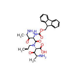 C=CCN(C(=O)[C@H](NC(=O)OCC1c2ccccc2-c2ccccc21)C(=O)[C@H](C)N)[C@H](C(=O)O)C(=O)[C@H](C)N